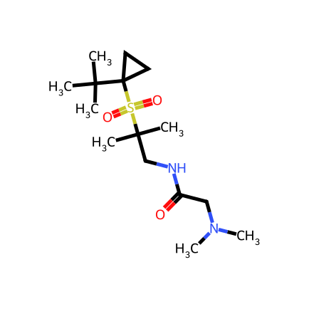 CN(C)CC(=O)NCC(C)(C)S(=O)(=O)C1(C(C)(C)C)CC1